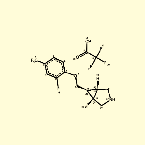 Fc1cc(C(F)(F)F)ccc1OC[C@H]1[C@@H]2CNC[C@@H]21.O=C(O)C(F)(F)F